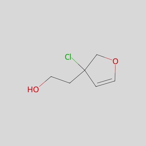 OCCC1(Cl)C=COC1